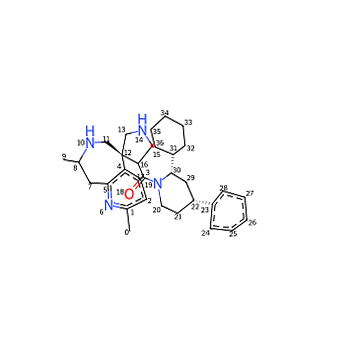 Cc1ccc2c(n1)CC(C)NC[C@]21CNCC1C(=O)N1CC[C@@H](c2ccccc2)C[C@H]1C1CCCCC1